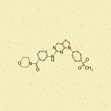 CS(=O)(=O)c1ccc(-n2ccc3cnc(Nc4cccc(C(=O)N5CCOCC5)c4)nc32)cc1